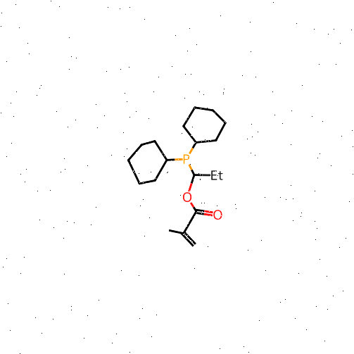 C=C(C)C(=O)OC(CC)P(C1CCCCC1)C1CCCCC1